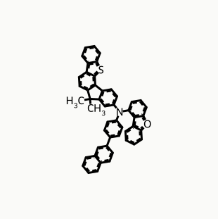 CC1(C)c2cc(N(c3ccc(-c4ccc5ccccc5c4)cc3)c3cccc4oc5ccccc5c34)ccc2-c2c1ccc1c2sc2ccccc21